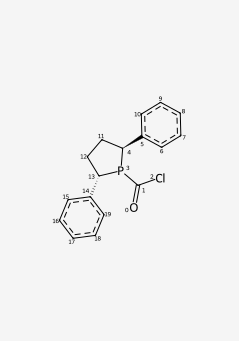 O=C(Cl)P1[C@H](c2ccccc2)CC[C@H]1c1ccccc1